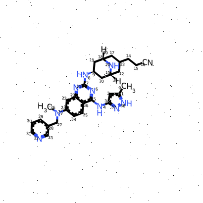 Cc1cc(Nc2nc(N[C@@H]3C[C@H]4CC(CCC#N)C[C@@H](C3)N4)nc3cc(N(C)Cc4cccnc4)ccc23)n[nH]1